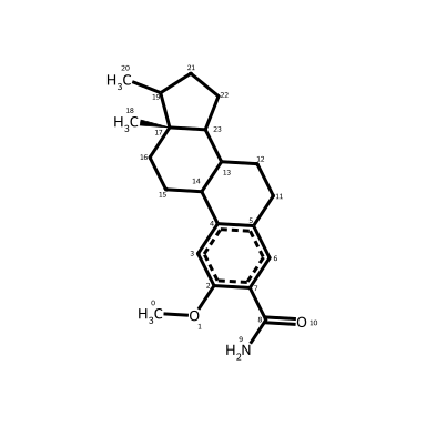 COc1cc2c(cc1C(N)=O)CCC1C2CC[C@]2(C)C(C)CCC12